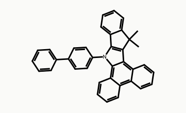 CC1(C)c2ccccc2-c2c1c1c3ccccc3c3ccccc3c1n2-c1ccc(-c2ccccc2)cc1